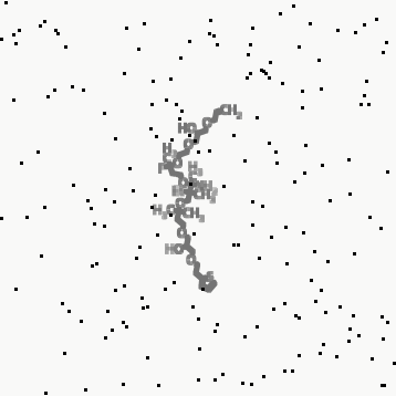 C=CCOCC(O)COCCOC(C)(F)CCOC(C)(N)C(C)(CC)COC(C)(C)CCOCC(O)COCCc1cccs1